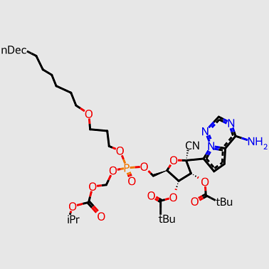 CCCCCCCCCCCCCCCCOCCCOP(=O)(OCOC(=O)OC(C)C)OC[C@H]1O[C@@](C#N)(c2ccc3c(N)ncnn23)[C@H](OC(=O)C(C)(C)C)[C@@H]1OC(=O)C(C)(C)C